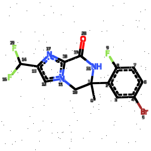 CC1(c2cc(Br)ccc2F)Cn2cc(C(F)F)nc2C(=O)N1